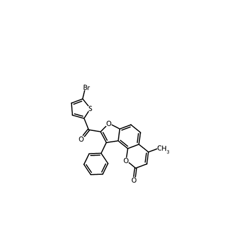 Cc1cc(=O)oc2c1ccc1oc(C(=O)c3ccc(Br)s3)c(-c3ccccc3)c12